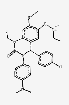 CC[C@@H](C)Oc1cc2c(cc1OC)N(CC)C(=O)N(c1ccc(N(C)C)cc1)C2c1ccc(Cl)cc1